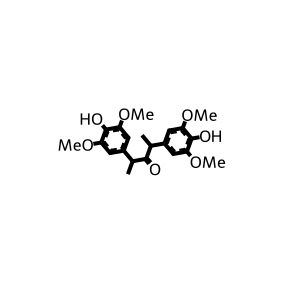 COc1cc(C(C)C(=O)C(C)c2cc(OC)c(O)c(OC)c2)cc(OC)c1O